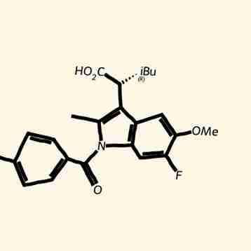 CC[C@@H](C)C(C(=O)O)c1c(C)n(C(=O)c2ccc(C)cc2)c2cc(F)c(OC)cc12